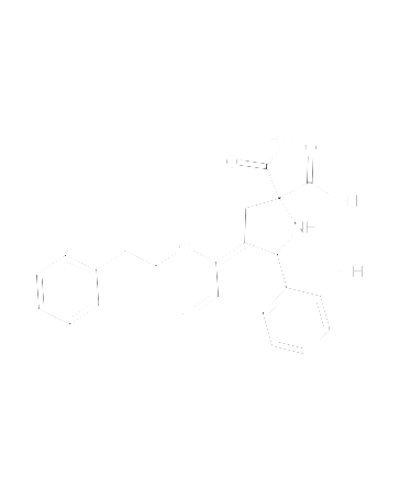 O=C/C(OCCc1ccccc1)=C1/CC(C(=O)O)(C(=O)O)NC1c1ccccc1O